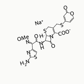 CO/N=C(\C(=O)N[C@@H]1C(=O)N2C(C(=O)[O-])=C(CSc3ccoc(=O)c3)CS[C@H]12)c1csc(N)n1.[Na+]